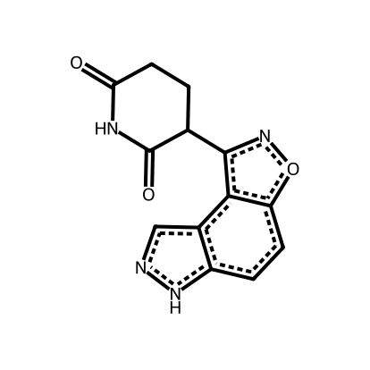 O=C1CCC(c2noc3ccc4[nH]ncc4c23)C(=O)N1